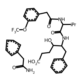 CC(C)C(NC(=O)Cc1cccc(OC(F)(F)F)c1)C(=O)NC(Cc1ccccc1)C(O)CCC(=O)O.NC(=O)Cc1ccccc1